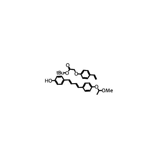 C=Cc1ccc(OCC(=O)OC(C)(C)C)cc1.COC(C)Oc1ccc(C=CC=Cc2ccc(O)cc2)cc1